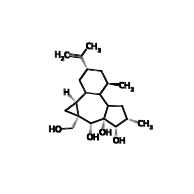 C=C(C)[C@H]1CC2C(C3C[C@H](C)[C@H](O)[C@@]3(O)[C@H](O)[C@@]3(CO)C[C@@H]23)[C@H](C)C1